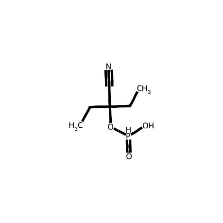 CCC(C#N)(CC)O[PH](=O)O